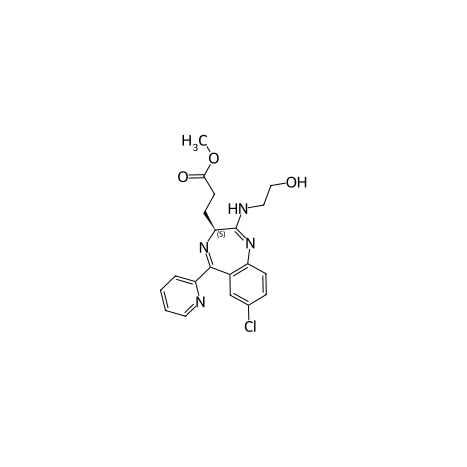 COC(=O)CC[C@@H]1N=C(c2ccccn2)c2cc(Cl)ccc2N=C1NCCO